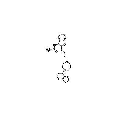 NC(=O)Nc1c(CCCCN2CCCN(c3cccc4c3OCC4)CC2)oc2ccccc12